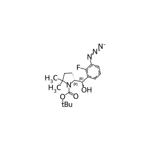 CC(C)(C)OC(=O)N1[C@@H]([C@H](O)c2cccc(N=[N+]=[N-])c2F)CCC1(C)C